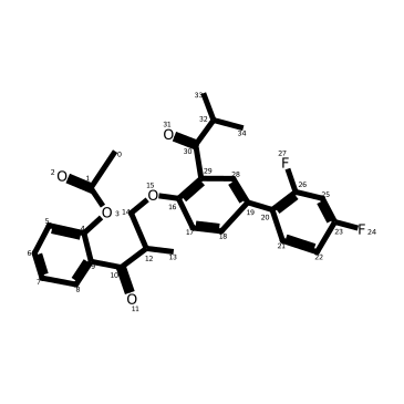 CC(=O)Oc1ccccc1C(=O)C(C)COc1ccc(-c2ccc(F)cc2F)cc1C(=O)C(C)C